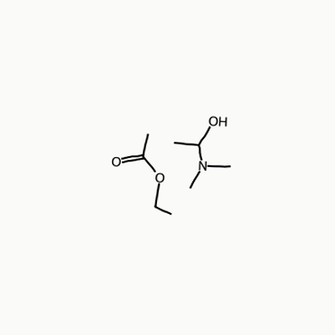 CC(O)N(C)C.CCOC(C)=O